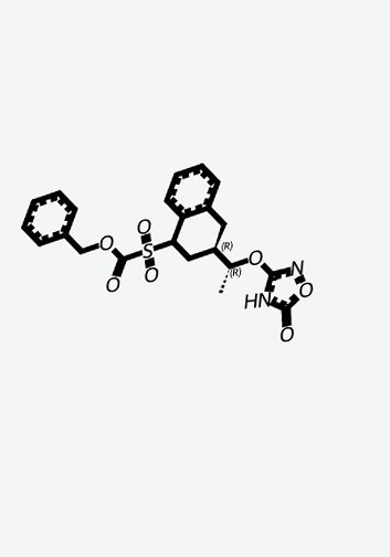 C[C@@H](Oc1noc(=O)[nH]1)[C@@H]1Cc2ccccc2C(S(=O)(=O)C(=O)OCc2ccccc2)C1